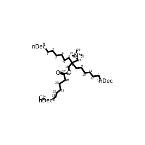 CCCCCCCCCCCCCCCCC(CCCCCCCCCCCCCCCC)(COC(=O)CCCCCCCCCCCCCCC)C[N+](C)(C)C.[Cl-]